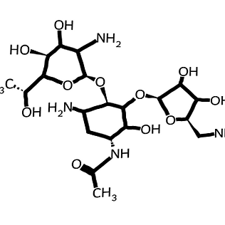 CC(=O)N[C@@H]1CC(N)[C@@H](O[C@H]2OC([C@@H](C)O)[C@@H](O)C(O)C2N)C(O[C@@H]2O[C@H](CN)C(O)C2O)C1O